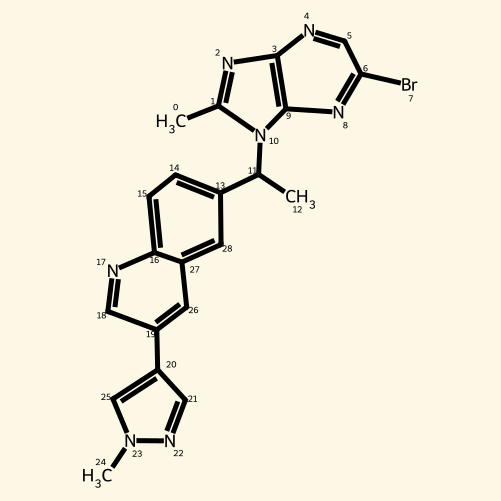 Cc1nc2ncc(Br)nc2n1C(C)c1ccc2ncc(-c3cnn(C)c3)cc2c1